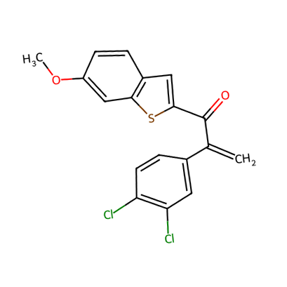 C=C(C(=O)c1cc2ccc(OC)cc2s1)c1ccc(Cl)c(Cl)c1